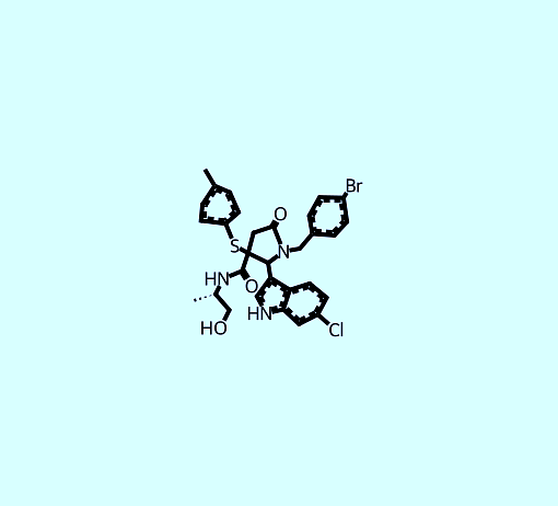 Cc1ccc(SC2(C(=O)N[C@@H](C)CO)CC(=O)N(Cc3ccc(Br)cc3)C2c2c[nH]c3cc(Cl)ccc23)cc1